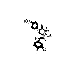 CN1[C@H](C(=O)Nc2ccc(F)c(Cl)c2)C[C@H](c2ccc(C(=O)O)cc2)NS1(=O)=O